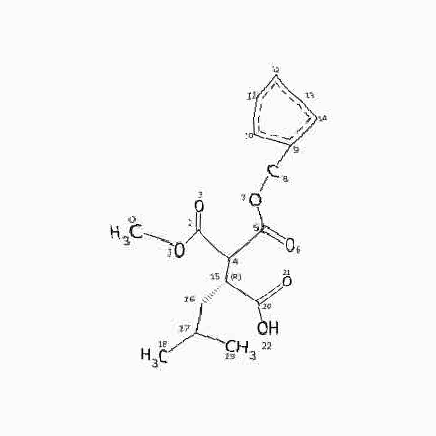 COC(=O)C(C(=O)OCc1ccccc1)[C@@H](CC(C)C)C(=O)O